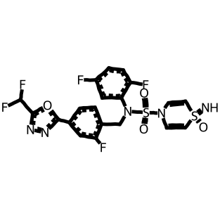 N=S1(=O)C=CN(S(=O)(=O)N(Cc2ccc(-c3nnc(C(F)F)o3)cc2F)c2cc(F)ccc2F)C=C1